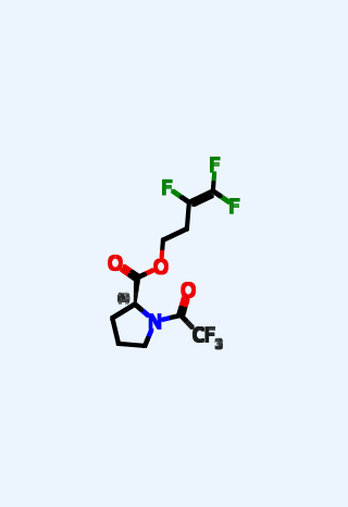 O=C(OCCC(F)=C(F)F)[C@@H]1CCCN1C(=O)C(F)(F)F